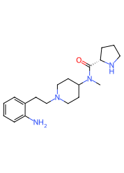 CN(C(=O)[C@@H]1CCCN1)C1CCN(CCc2ccccc2N)CC1